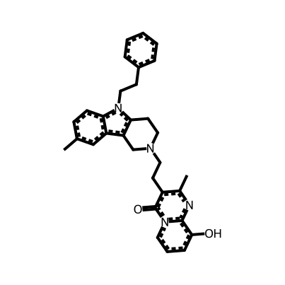 Cc1ccc2c(c1)c1c(n2CCc2ccccc2)CCN(CCc2c(C)nc3c(O)cccn3c2=O)C1